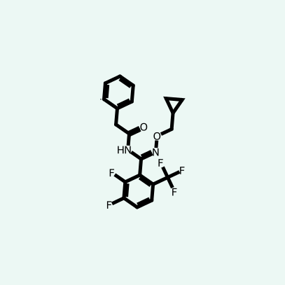 O=C(Cc1[c]cccc1)N/C(=N\OCC1CC1)c1c(C(F)(F)F)ccc(F)c1F